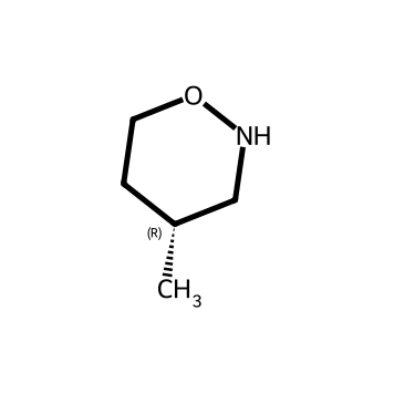 C[C@@H]1CCONC1